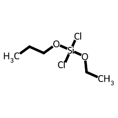 CCCO[Si](Cl)(Cl)OCC